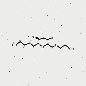 CCCC=O.OCCOCCOCCOCCO